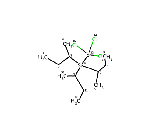 CCC(C)[Si](C(C)CC)(C(C)CC)[Si](Cl)(Cl)Cl